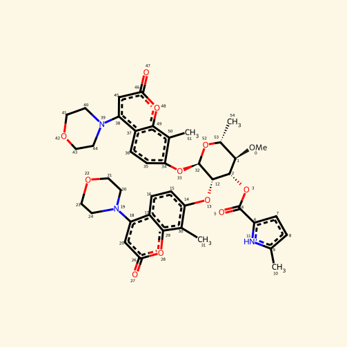 CO[C@H]1[C@H](OC(=O)c2ccc(C)[nH]2)[C@H](Oc2ccc3c(N4CCOCC4)cc(=O)oc3c2C)[C@@H](Oc2ccc3c(N4CCOCC4)cc(=O)oc3c2C)O[C@@H]1C